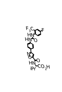 CC(C)[C@H](NC(=O)c1cc(-c2ccc(NC(=O)Nc3ccc(F)cc3C(F)(F)F)cc2)no1)C(=O)O